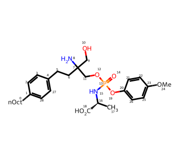 CCCCCCCCc1ccc(CCC(N)(CO)COP(=O)(N[C@@H](C)C(=O)O)Oc2ccc(OC)cc2)cc1